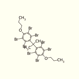 CCCOc1c(Br)c(Br)c(C(C)(C)c2c(Br)c(Br)c(OCCC)c(Br)c2Br)c(Br)c1Br